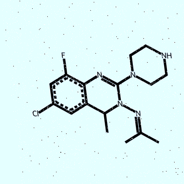 CC(C)=NN1C(N2CCNCC2)=Nc2c(F)cc(Cl)cc2C1C